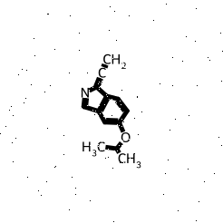 C=C=C1N=Cc2cc(OC(C)C)ccc21